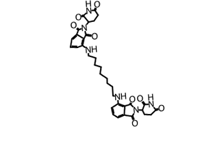 O=C1CCC(N2C(=O)c3cccc(NCCCCCCCCCNc4cccc5c4C(=O)N(C4CCC(=O)NC4=O)C5=O)c3C2=O)C(=O)N1